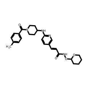 Cc1ccc(C(=O)N2CCC(Nc3ccc(/C=C/C(=O)NOC4CCCCO4)cn3)CC2)cc1